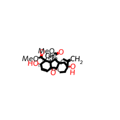 C=C1C[C@]23C[C@@]1(O)CC[C@@]21O[C@]12C=C[C@H](O)[C@@](C)(C(=O)OC)[C@H]2[C@@H]3C(=O)OC